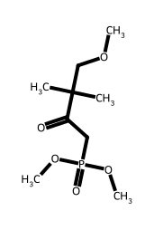 COCC(C)(C)C(=O)CP(=O)(OC)OC